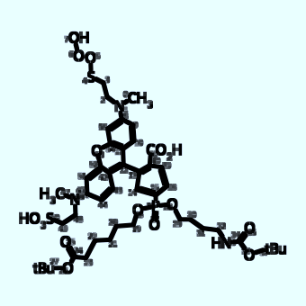 CN(CCSOOO)c1ccc2c(-c3cc(P(=O)(OCCCCCC(=O)OC(C)(C)C)OCCCCNC(=O)OC(C)(C)C)ccc3C(=O)O)c3cc/c(=[N+](/C)CCS(=O)(=O)O)cc-3oc2c1